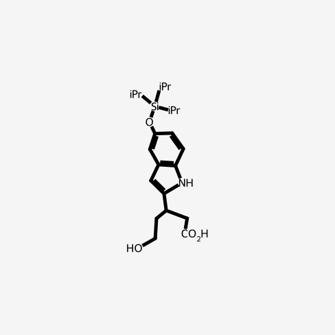 CC(C)[Si](Oc1ccc2[nH]c(C(CCO)CC(=O)O)cc2c1)(C(C)C)C(C)C